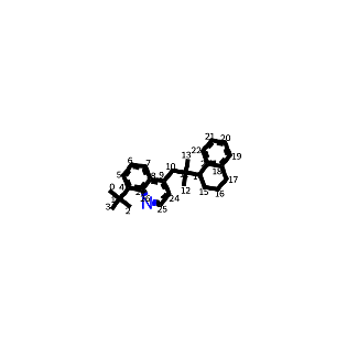 CC(C)(C)c1cccc2c(CC(C)(C)C3CCCc4ccccc43)ccnc12